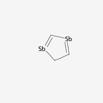 [CH]1=[Sb][CH]=[Sb][CH2]1